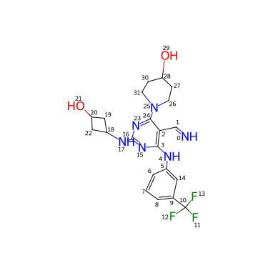 N=Cc1c(Nc2cccc(C(F)(F)F)c2)nc(NC2CC(O)C2)nc1N1CCC(O)CC1